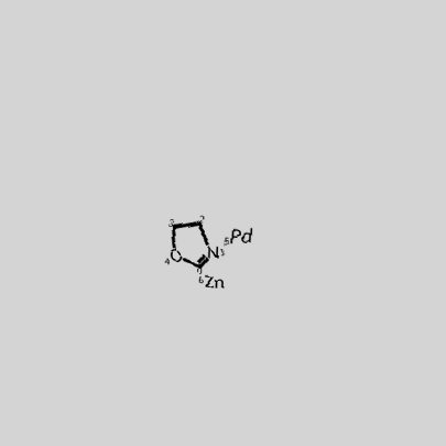 C1=NCCO1.[Pd].[Zn]